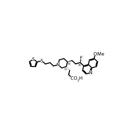 COc1ccc2nccc([C@H](F)CC[C@@H]3CCN(CCCSc4cccs4)C[C@H]3CCC(=O)O)c2c1